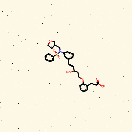 O=C(O)CCc1ccccc1OCC[C@@H](O)/C=C/c1cccc(N(CC2CCOC2)S(=O)(=O)c2ccccc2)c1